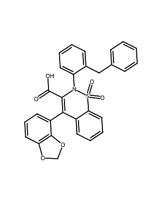 O=C(O)C1=C(c2cccc3c2OCO3)c2ccccc2S(=O)(=O)N1c1ccccc1Cc1ccccc1